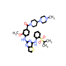 COc1cc(C(=O)N2CCC(N3CCN(C)CC3)CC2)ccc1Nc1nc(Nc2ccccc2S(=O)(=O)C(C)C)c2sccc2n1